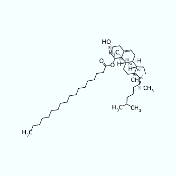 CCCCCCCCCCCCCCCCCC(=O)OC1C[C@H](O)CC2=CC[C@H]3[C@@H]4CC[C@H]([C@H](C)CCCC(C)C)[C@@]4(C)CC[C@@H]3[C@]21C